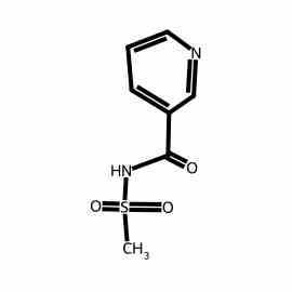 CS(=O)(=O)NC(=O)c1cccnc1